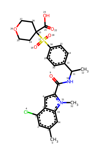 Cc1cc(Cl)c2cc(C(=O)NC(C)c3ccc(S(=O)(=O)C4(C(=O)O)CCOCC4)cc3)n(C)c2c1